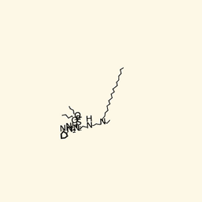 C=P(OCCCC)(OCCCC)SCN(CCCNCCCN(CC)CCCCCCCCCCCCCCCCCC)CN(N)c1ccccc1N